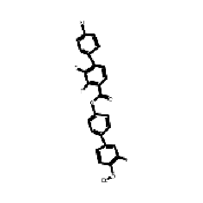 CCOc1ccc(-c2ccc(OC(=O)c3ccc(-c4ccc(CC)cc4)c(F)c3F)cc2)cc1F